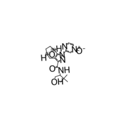 CC(C)(C)C(CO)NC(=O)c1nn(-c2c[n+]([O-])ccn2)c2c1C[C@@H]1CC[C@H]2O1